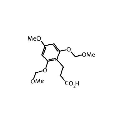 COCOc1cc(OC)cc(OCOC)c1CCC(=O)O